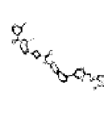 Cc1cc(C(=O)N2CCN([C@H]3C[C@@H](C(=O)Nc4nc5ccc(-c6cnc(CO[C@H]7CCC[C@@H]7O)nc6)cc5s4)C3)[C@@H](C)C2)ccn1